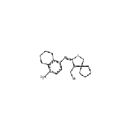 CC(C)CN1/C(=N\c2ccc([N+](=O)[O-])c3c2CCCC3)SCC12CCCC2